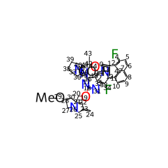 C#Cc1c(F)ccc2cccc(-c3nc4c5c(nc(OCC67CC(=C)CN6C[C@H](OC)C7)nc5c3F)N3CC5CCC(C3C(C)O4)N5C(=O)O)c12